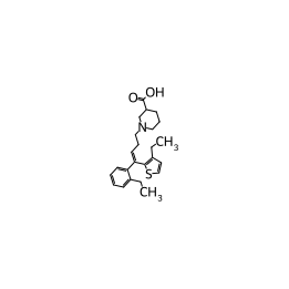 CCc1ccccc1/C(=C/CCN1CCCC(C(=O)O)C1)c1sccc1CC